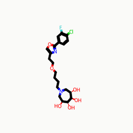 O[C@H]1[C@H](O)[C@@H](O)CN(CCCCOCCc2coc(-c3ccc(Cl)c(F)c3)n2)C[C@@H]1O